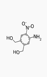 Nc1cc(CO)c(CO)cc1[N+](=O)[O-]